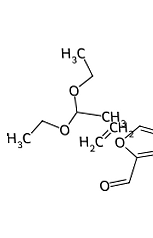 C=C.CCOC(C)OCC.O=Cc1ccco1